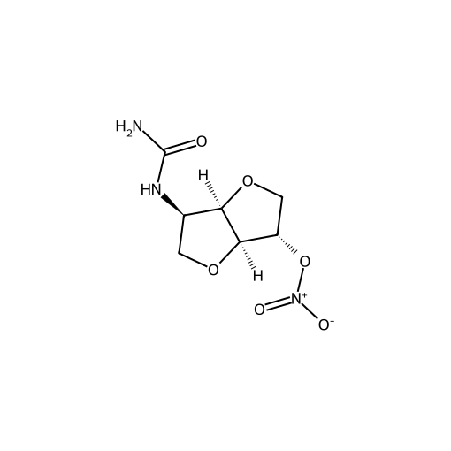 NC(=O)N[C@@H]1CO[C@H]2[C@@H]1OC[C@@H]2O[N+](=O)[O-]